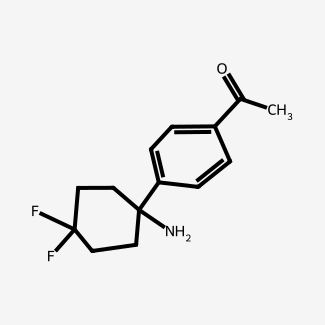 CC(=O)c1ccc(C2(N)CCC(F)(F)CC2)cc1